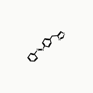 c1ccc(N=Nc2ccc(Cc3cscn3)cc2)cc1